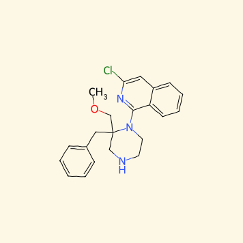 COCC1(Cc2ccccc2)CNCCN1c1nc(Cl)cc2ccccc12